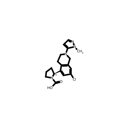 Cn1nccc1N1CCc2c(cc(Cl)cc2[C@@H]2CCCN2C(=O)O)C1